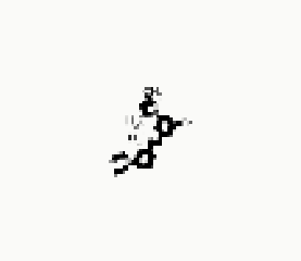 Cc1cc(C)n(-c2cc(C[C@H](C)c3cccc(N4CCOCC4)c3)cc(C(C)C)c2)n1